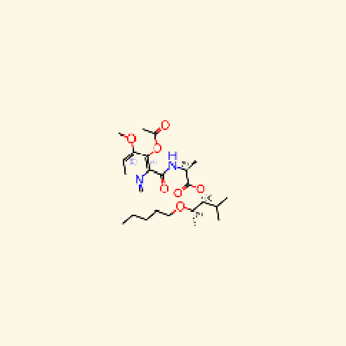 C=N/C(C(=O)N[C@@H](C)C(=O)O[C@H](C(C)C)[C@H](C)OCCCCC)=C(OC(C)=O)\C(=C/C)OC